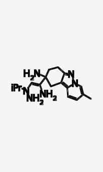 Cc1ccc2c3c(nn2c1)CCC(N)(/C(N)=C/N(N)C(C)C)C3